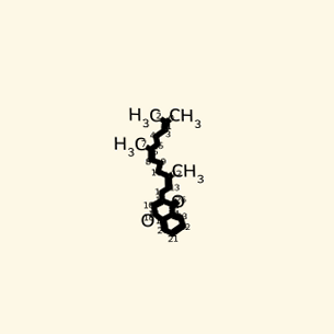 CC(C)=CCCC(C)=CCCC(C)=CCC1=CC(=O)c2ccccc2C1=O